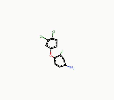 Nc1ccc(Oc2ccc(Cl)c(Cl)c2)c(Cl)c1